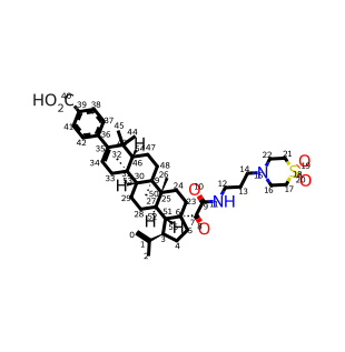 C=C(C)[C@@H]1CC[C@]2(C(=O)C(=O)NCCCN3CCS(=O)(=O)CC3)CC[C@]3(C)[C@H](CC[C@@H]4[C@@]5(C)CC=C(c6ccc(C(=O)O)cc6)C(C)(C)[C@@H]5CC[C@]43C)[C@@H]12